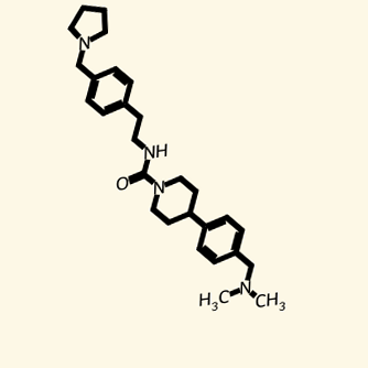 CN(C)Cc1ccc(C2CCN(C(=O)NCCc3ccc(CN4CCCC4)cc3)CC2)cc1